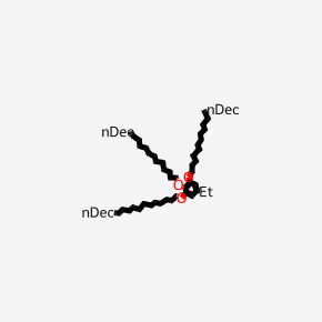 CCCCCCCCCCCCCCCCCCCCCCOc1cc(CC)cc(OCCCCCCCCCCCCCCCCCCCCCC)c1OCCCCCCCCCCCCCCCCCCCCCC